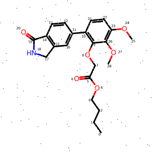 CCCCOC(=O)COc1c(-c2ccc3c(c2)CNC3=O)ccc(OC)c1OC